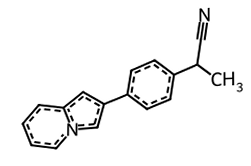 CC(C#N)c1ccc(-c2cc3ccccn3c2)cc1